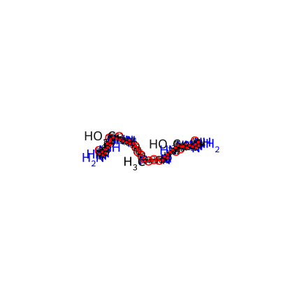 CN(CCOCCOCCOCCn1cc(CCCCNC(=O)CC[C@H](NC(=O)c2ccc(NCc3cnc4nc(N)[nH]c(=O)c4n3)cc2)C(=O)O)nn1)CCOCCOCCOCCn1cc(CCCCNC(=O)CC[C@H](NC(=O)c2ccc(NCc3cnc4nc(N)[nH]c(=O)c4n3)cc2)C(=O)O)nn1